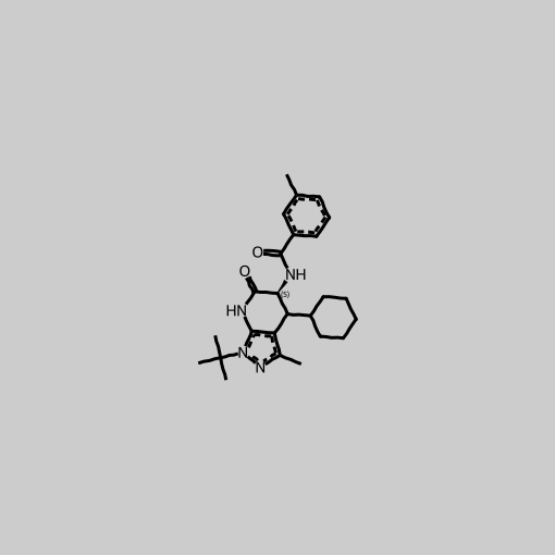 Cc1cccc(C(=O)N[C@@H]2C(=O)Nc3c(c(C)nn3C(C)(C)C)C2C2CCCCC2)c1